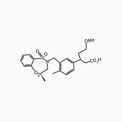 COCCC(CC(=O)O)c1ccc(C)c(CN2C[C@@H](C)Oc3ccccc3S2(=O)=O)c1